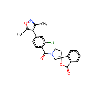 Cc1noc(C)c1-c1ccc(C(=O)N2CC[C@@]3(C2)OC(=O)c2ccccc23)c(Cl)c1